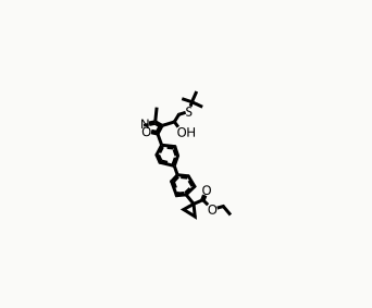 CCOC(=O)C1(c2ccc(-c3ccc(-c4onc(C)c4C(O)CSC(C)(C)C)cc3)cc2)CC1